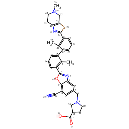 Cc1c(-c2nc3cc(CN4CCC(C(=O)O)C4)cc(C#N)c3o2)cccc1-c1cccc(-c2nc3c(s2)CN(C)CC3)c1C